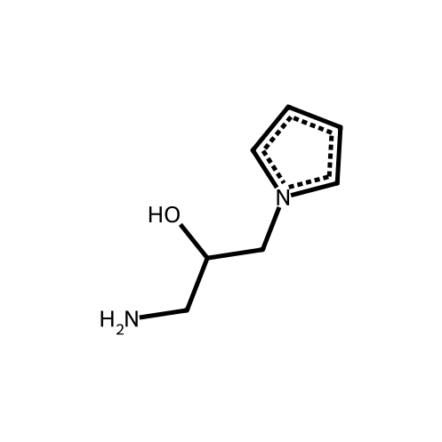 NCC(O)Cn1cccc1